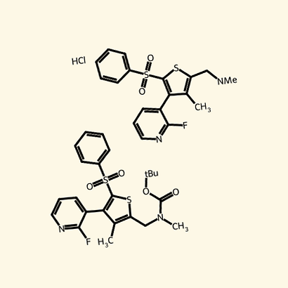 CNCc1sc(S(=O)(=O)c2ccccc2)c(-c2cccnc2F)c1C.Cc1c(CN(C)C(=O)OC(C)(C)C)sc(S(=O)(=O)c2ccccc2)c1-c1cccnc1F.Cl